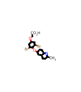 Cc1ccc2cc(Oc3c(Br)cc(OCC(=O)O)cc3Br)ccc2n1